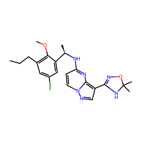 CCCc1cc(F)cc([C@@H](C)Nc2ccn3ncc(C4=NOC(C)(C)N4)c3n2)c1OC